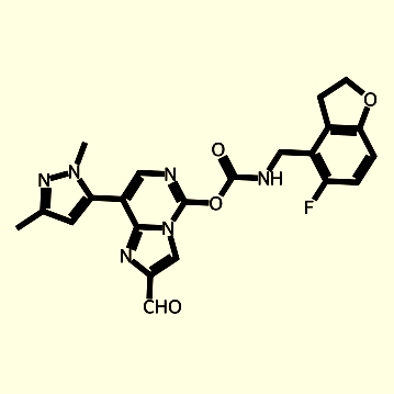 Cc1cc(-c2cnc(OC(=O)NCc3c(F)ccc4c3CCO4)n3cc(C=O)nc23)n(C)n1